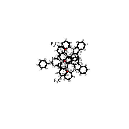 FC(F)(F)c1ccc(-n2c3ccccc3c3ccc4c5ccccc5n(-c5ccccc5)c4c32)c(-c2nc(-c3ccccc3)nc(-c3cc(C(F)(F)F)ccc3-n3c4ccccc4c4ccc5c6ccccc6n(-c6ccccc6)c5c43)n2)c1